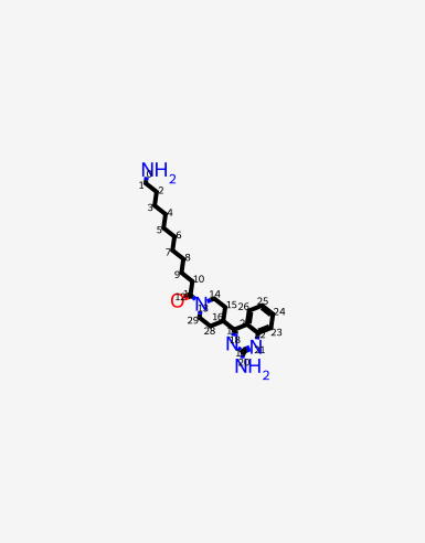 NCCCCCCCCCCC(=O)N1CCC(c2nc(N)nc3ccccc23)CC1